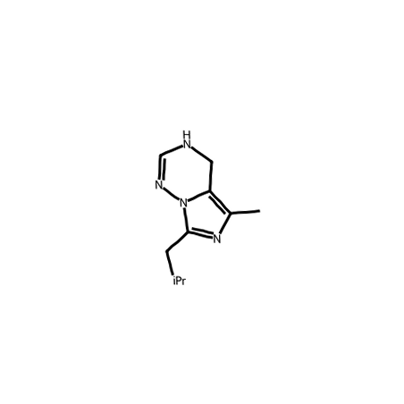 Cc1nc(CC(C)C)n2c1CNC=N2